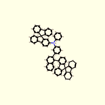 C1=CC2=C(CC1)C1(C3=CCCC=C32)c2ccccc2-c2c(-c3c(-c4cccc(N(c5ccccc5)c5ccc6c(c5)C5(c7ccccc7-c7ccccc75)c5ccccc5-6)c4)ccc4ccccc34)cccc21